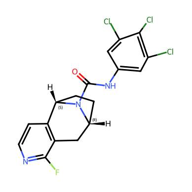 O=C(Nc1cc(Cl)c(Cl)c(Cl)c1)N1[C@@H]2CC[C@H]1c1ccnc(F)c1C2